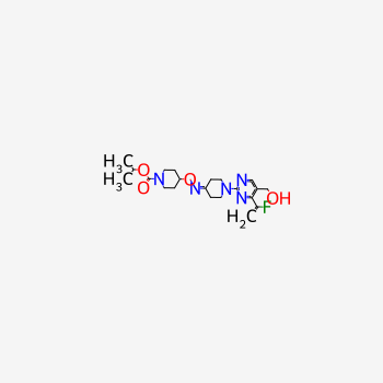 C=C(F)c1nc(N2CCC(=NOC3CCN(C(=O)OC(C)C)CC3)CC2)ncc1CO